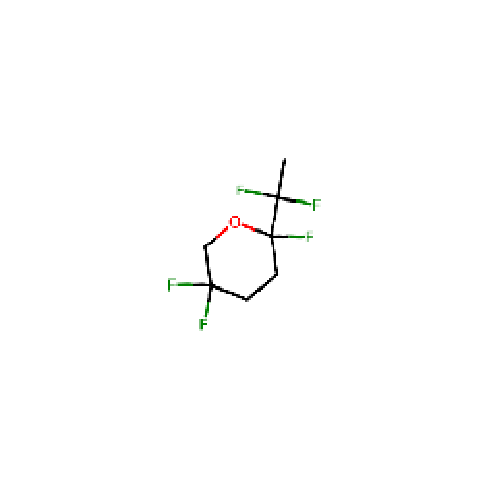 CC(F)(F)C1(F)CCC(F)(F)CO1